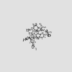 CS(=O)(=O)c1ccc2nc(-c3cccc(C(F)(F)F)c3)c(C[N+]3(C4CCNCC4)CCC[C@@H](O)C3)c(C(=O)NC3(c4ccccc4)CC3)c2c1